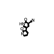 N#Cc1cc2c([nH]c1=O)oc1ncccc12